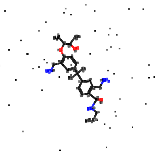 CCC(CC)(c1ccc(OC(C)C(O)C(C)(C)C)c(CN)c1)c1ccc(C(=O)NCC(=O)O)c(CN)c1